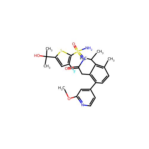 COc1cc(-c2ccc(C)c(C(C)C)c2CC(=O)N=S(N)(=O)c2sc(C(C)(C)O)cc2F)ccn1